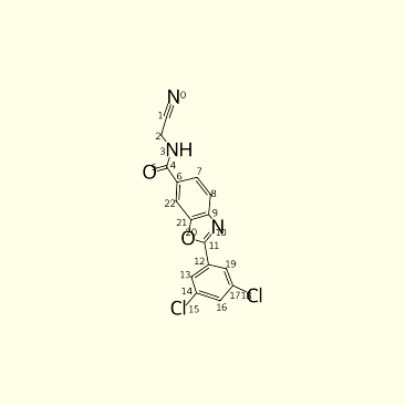 N#CCNC(=O)c1ccc2nc(-c3cc(Cl)cc(Cl)c3)oc2c1